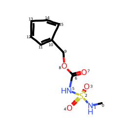 CNS(=O)(=O)NC(=O)OCc1ccccc1